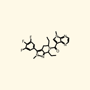 CCC1Cc2c(nn(C)c2-c2cc(F)c(F)c(F)c2)C(CC)N1C(=O)c1cn(C)c2nccnc12